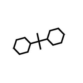 CC(C)(C1CC[CH]CC1)C1CC[CH]CC1